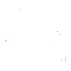 CC(=O)c1cnc(Cl)cc1C(F)(F)F